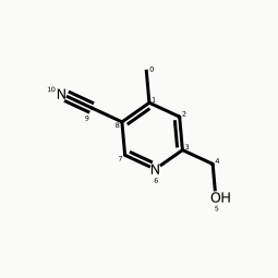 Cc1cc(CO)ncc1C#N